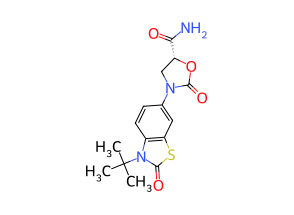 CC(C)(C)n1c(=O)sc2cc(N3C[C@H](C(N)=O)OC3=O)ccc21